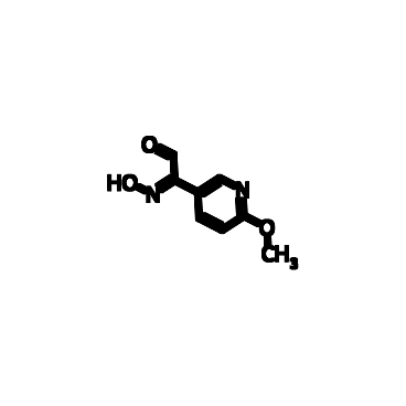 COc1ccc(C(C=O)=NO)cn1